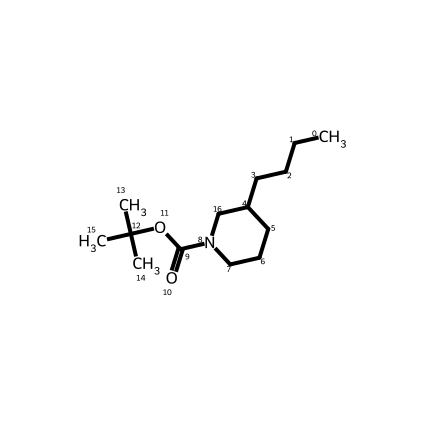 CCCCC1CCCN(C(=O)OC(C)(C)C)C1